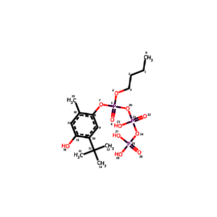 CCCCOP(=O)(Oc1cc(C(C)(C)C)c(O)cc1C)OP(=O)(O)OP(=O)(O)O